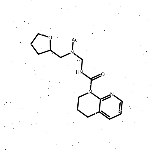 CC(=O)N(CNC(=O)N1CCCc2cccnc21)CC1CCCO1